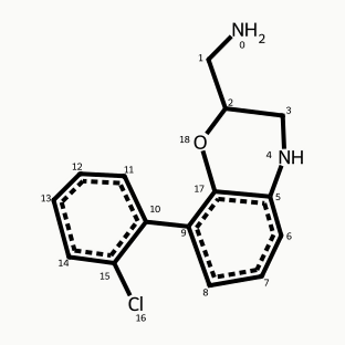 NCC1CNc2cccc(-c3ccccc3Cl)c2O1